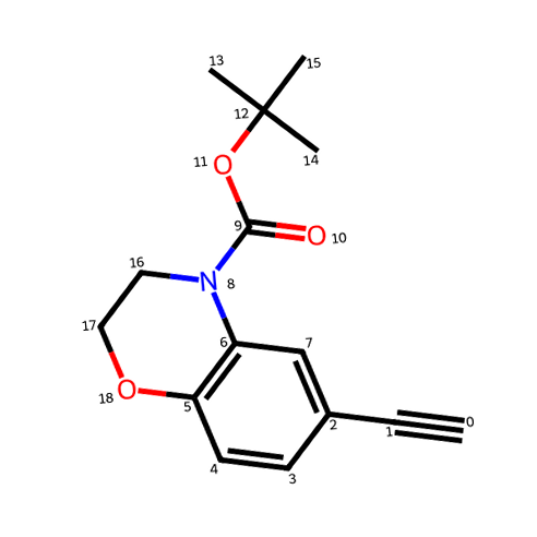 C#Cc1ccc2c(c1)N(C(=O)OC(C)(C)C)CCO2